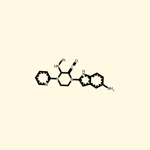 CC(C)NC1C(=C=O)N(c2cc3cc(N)ccc3[nH]2)CCN1c1ccccn1